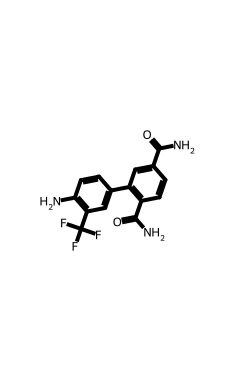 NC(=O)c1ccc(C(N)=O)c(-c2ccc(N)c(C(F)(F)F)c2)c1